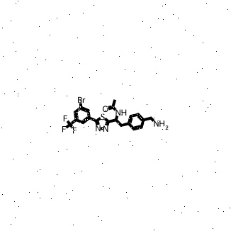 CC(=O)NC(Cc1ccc(CN)cc1)c1nnc(-c2cc(Br)cc(C(F)(F)F)c2)s1